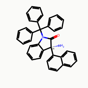 N[C@@]1(c2cccc3ccccc23)C(=O)N(C(c2ccccc2)(c2ccccc2)c2ccccc2)c2ccccc21